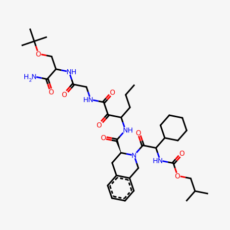 CCCC(NC(=O)[C@@H]1Cc2ccccc2CN1C(=O)C(NC(=O)OCC(C)C)C1CCCCC1)C(=O)C(=O)NCC(=O)NC(COC(C)(C)C)C(N)=O